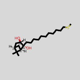 CSCCCCCCCCCCC[C@@]1(O)[C@@H]2C[C@H](C[C@@H]1O)C2(C)C